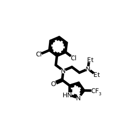 CCN(CC)CCN(Cc1c(Cl)cccc1Cl)C(=O)c1cc(C(F)(F)F)n[nH]1